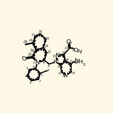 Cc1ccccc1-n1c(Cn2nc(C(=O)O)c3c(N)cncc32)cc2cccc(C)c2c1=O